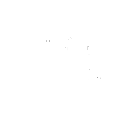 CS(=O)(=O)OCC1CN(c2ccc(C3(F)CCN(C(=O)OCc4ccccc4)CC3)c(F)c2)C(=O)O1